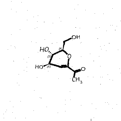 CC(=O)C1=C[C@@H](O)[C@H](O)[C@@H](CO)O1